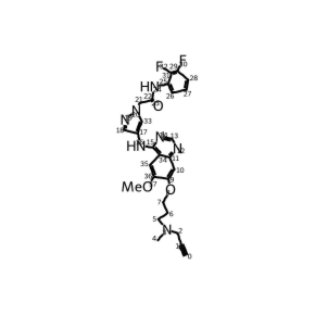 C#CCN(C)CCCOc1cc2ncnc(Nc3cnn(CC(=O)Nc4cccc(F)c4F)c3)c2cc1OC